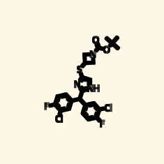 CC(C)(C)OC(=O)N1CC(Sc2c[nH]c(C(c3ccc(F)c(Cl)c3)c3ccc(F)c(Cl)c3)n2)C1